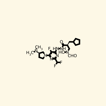 CN(C)[C@@H]1CCN(c2nc(C(F)F)nc(NNC(=O)[C@@H](CC3CCCC3)CN(O)C=O)c2F)C1